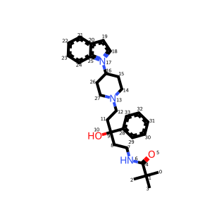 CC(C)(C)C(=O)NCCC(O)(CCN1CCC(n2ccc3ccccc32)CC1)c1ccccc1